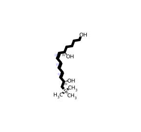 C[Si](C)(C)C[C@@H](O)/C=C/C=C/C=C\[C@@H](O)CCCCO